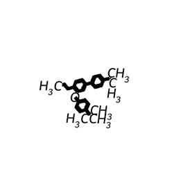 CCCc1ccc(-c2ccc(C(C)C)cc2)cc1Oc1ccc(C(C)(C)C)cc1